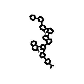 CC(C)c1ccc(-c2ccc3c(c2)c2cc(-c4cccc5c4ccc4c5c5cccc6c7cc(-c8cccc(-c9ccccc9)c8)ccc7n4c65)cc4c5c6ccccc6ccc5n3c24)cc1